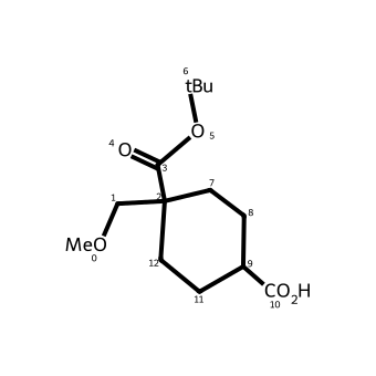 COCC1(C(=O)OC(C)(C)C)CCC(C(=O)O)CC1